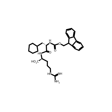 N=C(N)NCCC[C@H](NC(=O)[C@H](CC1CCCCC1)NC(=O)OCC1c2ccccc2-c2ccccc21)C(=O)O